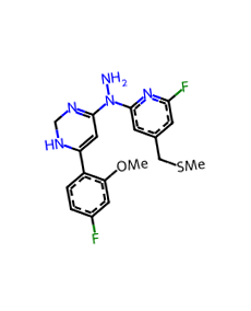 COc1cc(F)ccc1C1=CC(N(N)c2cc(CSC)cc(F)n2)=NCN1